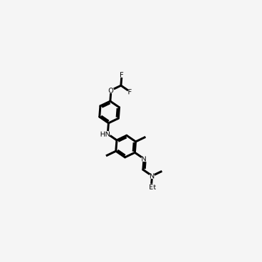 CCN(C)C=Nc1cc(C)c(Nc2ccc(OC(F)F)cc2)cc1C